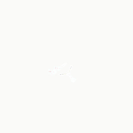 CO.C[S+](C)[O-].O